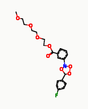 COCCOCCOCCOC(=O)c1cccc(N2OOC(c3ccc(F)cc3)O2)c1